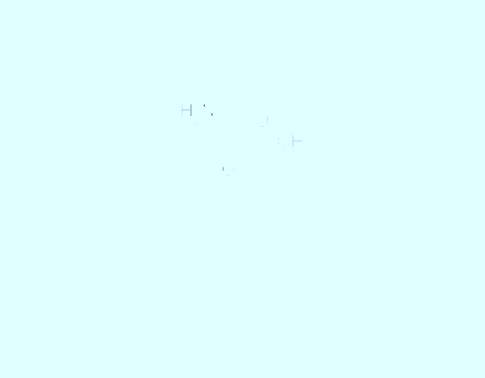 NC(=O)OC(CO)C1CCCCC1